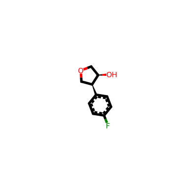 O[C@@H]1COC[C@@H]1c1ccc(F)cc1